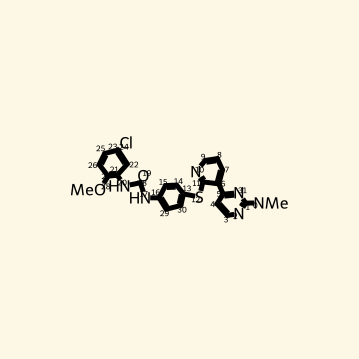 CNc1nccc(-c2cccnc2Sc2ccc(NC(=O)Nc3cc(Cl)ccc3OC)cc2)n1